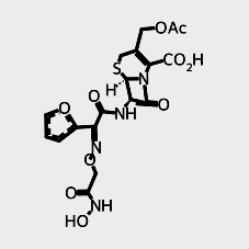 CC(=O)OCC1=C(C(=O)O)N2C(=O)[C@@H](NC(=O)C(=NOCC(=O)NO)c3ccco3)[C@H]2SC1